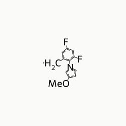 [CH2]c1cc(F)cc(F)c1-n1ccc(OC)c1